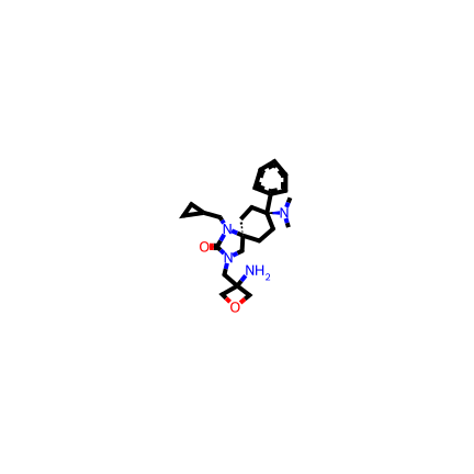 CN(C)[C@]1(c2ccccc2)CC[C@]2(CC1)CN(CC1(N)COC1)C(=O)N2CC1CC1